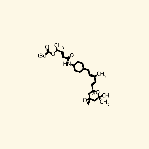 CC(C=C[C@@H]1C[C@]2(CO2)CC(C)(C)O1)=CCC1CCC(NC(=O)C=CC(C)OC(=O)C(C)(C)C)CC1